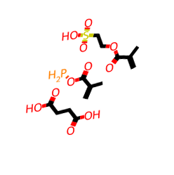 C=C(C)C(=O)OCCS(=O)(=O)O.C=C(C)C(=O)OP.O=C(O)CCC(=O)O